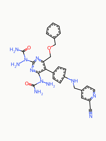 N#Cc1cc(CNc2ccc(-c3c(COCc4ccccc4)nc(N(N)C(N)=O)nc3N(N)C(N)=O)cc2)ccn1